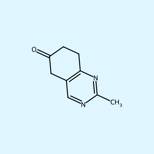 Cc1ncc2c(n1)CCC(=O)C2